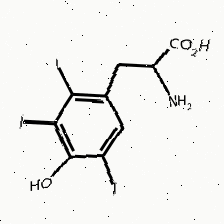 NC(Cc1cc(I)c(O)c(I)c1I)C(=O)O